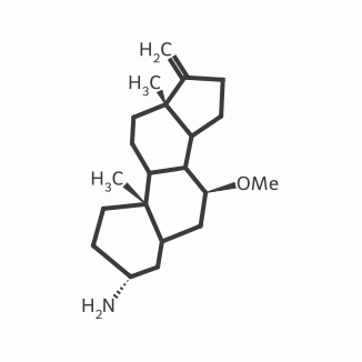 C=C1CCC2C3C(CC[C@]12C)[C@@]1(C)CC[C@@H](N)CC1C[C@@H]3OC